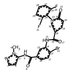 Cn1nccc1NC(=O)c1ccc(Br)c(NC(=O)c2ccc(=O)n(-c3c(F)cccc3F)c2)c1